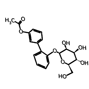 CC(=O)Oc1cccc(-c2ccccc2O[C@@H]2O[C@H](CO)[C@@H](O)[C@H](O)[C@@H]2O)c1